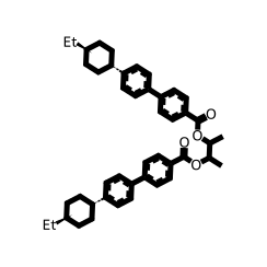 CC[C@H]1CC[C@H](c2ccc(-c3ccc(C(=O)OC(C)C(C)OC(=O)c4ccc(-c5ccc([C@H]6CC[C@H](CC)CC6)cc5)cc4)cc3)cc2)CC1